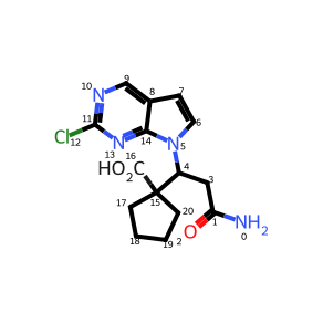 NC(=O)CC(n1ccc2cnc(Cl)nc21)C1(C(=O)O)CCCC1